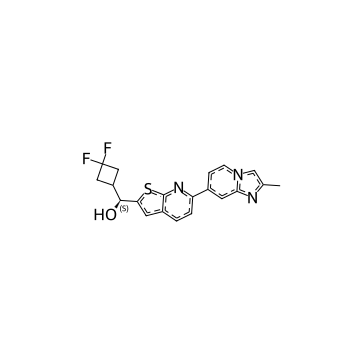 Cc1cn2ccc(-c3ccc4cc([C@@H](O)C5CC(F)(F)C5)sc4n3)cc2n1